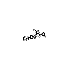 CC(C)(c1ccc(S(=O)(=O)Nc2cc(Cl)cnc2C(=O)c2cccc(F)c2)cc1)c1ncco1